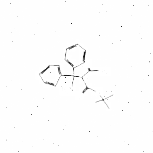 CC(C)(C)OC(=O)C(C(=O)O)C(N)(c1ccccc1)c1ccccc1